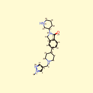 Cn1cc(CN2CCC(c3ccc4c(c3)CN(C3CCCNC3)C4=O)CC2)cn1